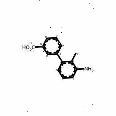 Cc1c(N)cccc1-c1cccc(C(=O)O)c1